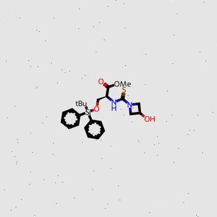 COC(=O)[C@H](CO[Si](c1ccccc1)(c1ccccc1)C(C)(C)C)NC(=S)N1CC(O)C1